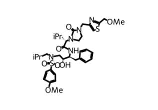 COCc1nc(CN2CCN([C@H](C(=O)N[C@@H](Cc3ccccc3)[C@H](O)CN(CC(C)C)S(=O)(=O)c3ccc(OC)cc3)C(C)C)C2=O)cs1